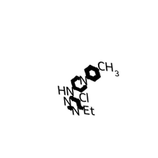 CCc1ncnc(NC2CCN(c3ccc(C)cc3)CC2)c1Cl